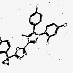 Cc1c(-c2nnc(C3(c4ccc(F)cc4)CC3)o2)nn(-c2ccc(Cl)cc2Cl)c1-c1ccc(Cl)cc1